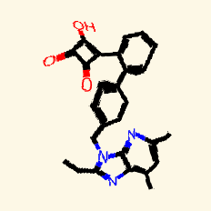 CCc1nc2c(C)cc(C)nc2n1Cc1ccc(-c2ccccc2-c2c(O)c(=O)c2=O)cc1